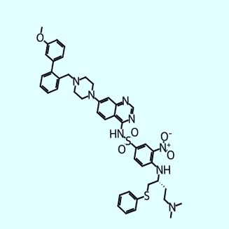 COc1cccc(-c2ccccc2CN2CCN(c3ccc4c(NS(=O)(=O)c5ccc(N[C@H](CCN(C)C)CSc6ccccc6)c([N+](=O)[O-])c5)ncnc4c3)CC2)c1